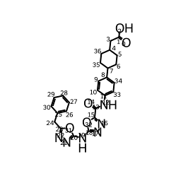 O=C(O)CC1CCC(c2ccc(NC(=O)c3nnc(Nc4nnc(Cc5ccccc5)o4)o3)cc2)CC1